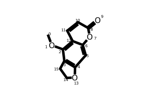 COc1c2c(cc3oc(=O)ccc13)OCC2